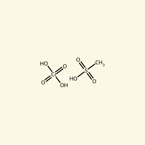 CS(=O)(=O)O.[O]=[Cr](=[O])([OH])[OH]